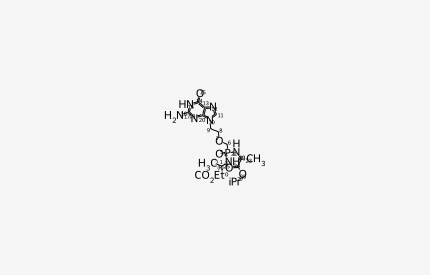 CCOC(=O)[C@@H](C)NP(=O)(COCCn1cnc2c(=O)[nH]c(N)nc21)N[C@H](C)C(=O)OC(C)C